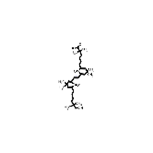 CC1(C)C=C(/C=C/C2=CC(C)(C)C=C(CCCCC(C)(C)C(=O)O)[S+]2[O-])[S+]([O-])C(CCCCC(C)(C)CO)=C1